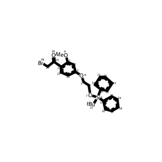 COc1cc(OCCO[Si](c2ccccc2)(c2ccccc2)C(C)(C)C)ccc1C(=O)CBr